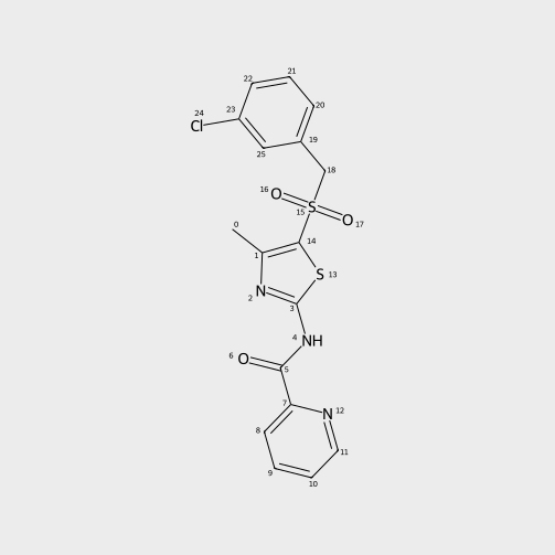 Cc1nc(NC(=O)c2ccccn2)sc1S(=O)(=O)Cc1cccc(Cl)c1